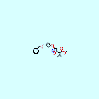 COC(=O)C(c1cc(O[C@H]2C[C@H](COCc3ccccc3)C2)no1)C(C)C